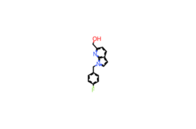 OCc1ccc2ccn(Cc3ccc(F)cc3)c2n1